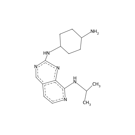 CC(C)Nc1nccc2cnc(NC3CCC(N)CC3)nc12